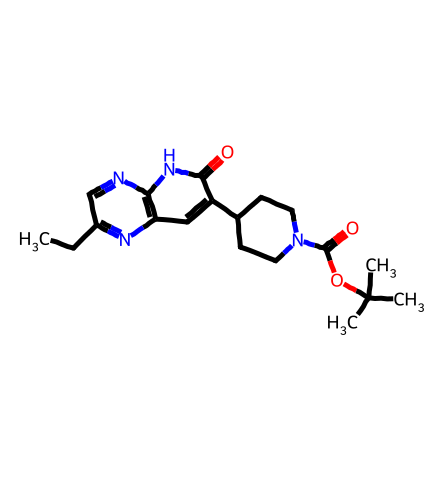 CCc1cnc2[nH]c(=O)c(C3CCN(C(=O)OC(C)(C)C)CC3)cc2n1